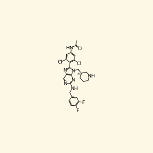 CC(=O)Nc1cc(Cl)c(-c2nc3cnc(NCc4ccc(F)c(F)c4)nc3n2C[C@@H]2CCCNC2)c(Cl)c1